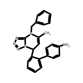 CC1=CC(c2ccccc2-c2ccc([N+](=O)[O-])cc2)n2nnnc2N1Cc1ccccc1